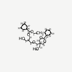 CCOC(OCC(CO)COCC1(CO)COC(c2ccccc2)OC1)c1ccccc1